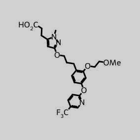 COCCOc1cc(Oc2ccc(C(F)(F)F)cn2)ccc1CCCOc1cc(CCC(=O)O)n(C)n1